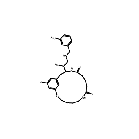 O=C1CCCC(=O)NC(C(O)CNCc2cccc(C(F)(F)F)c2)Cc2cc(F)cc(c2)OCCCCN1